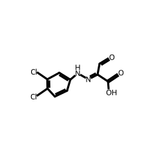 O=C/C(=N\Nc1ccc(Cl)c(Cl)c1)C(=O)O